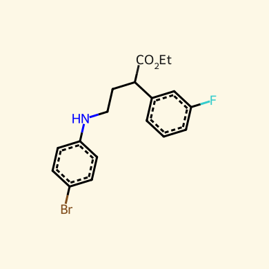 CCOC(=O)C(CCNc1ccc(Br)cc1)c1cccc(F)c1